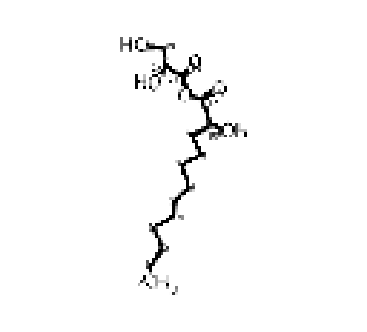 CCCCCCCCCCC(O)C(=O)OC(=O)C(O)CO